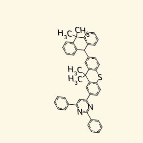 CC1(C)c2cc(-c3cc(-c4ccccc4)nc(-c4ccccc4)n3)ccc2Sc2ccc(C3c4ccccc4C(C)(C)c4ccccc43)cc21